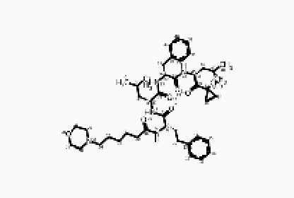 CC(C)C[C@H](NC(=O)[C@H](CCc1ccccc1)NC(=O)CCCCCN1CCOCC1)C(=O)N[C@@H](Cc1ccccc1)C(=O)N[C@@H](CC(C)C)C(=O)C1(C)CC1